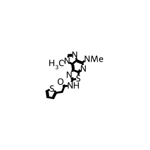 CNc1nc2sc(NC(=O)Cc3cccs3)nc2c2c1ncn2C